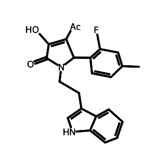 CC(=O)C1=C(O)C(=O)N(CCc2c[nH]c3ccccc23)C1c1ccc(C)cc1F